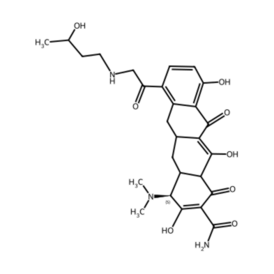 CC(O)CCNCC(=O)c1ccc(O)c2c1CC1CC3C(C(=O)C(C(N)=O)=C(O)[C@H]3N(C)C)C(O)=C1C2=O